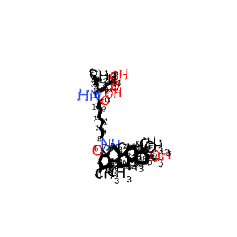 CC1=CC[C@]2(C(=O)NCCCCCCCC(=O)N[C@@H](CC(C)C)[C@H](O)CC(=O)O)CC[C@]3(C)C(CC[C@@H]4[C@@]5(C)CC[C@H](O)C(C)(C)[C@@H]5CC[C@]43C)[C@H]2[C@@H]1C